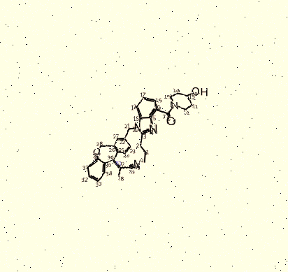 CCCc1nc2c(C(=O)N3CCC(O)CC3)cccc2n1Cc1ccc2c(c1)COc1ccccc1/C2=C(\C)C#N